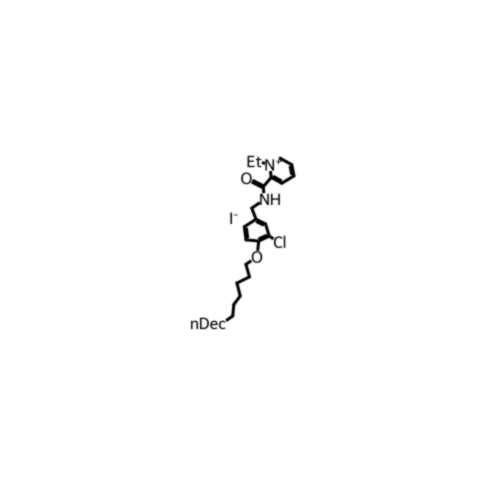 CCCCCCCCCCCCCCCCOc1ccc(CNC(=O)c2cccc[n+]2CC)cc1Cl.[I-]